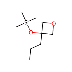 CCCC1(O[Si](C)(C)C)[CH]OC1